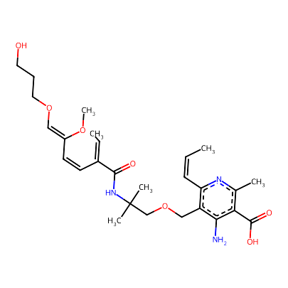 C/C=C\c1nc(C)c(C(=O)O)c(N)c1COCC(C)(C)NC(=O)C(/C=C\C(=C\OCCCO)OC)=C/C